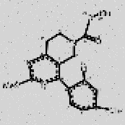 CSc1nc2c(c(-c3ccc(Cl)cc3Cl)n1)CN(C(=O)OC(C)(C)C)CC2